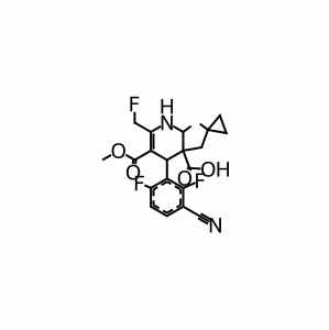 COC(=O)C1=C(CF)NC(C)C(CC2(C)CC2)(C(=O)O)C1c1c(F)ccc(C#N)c1F